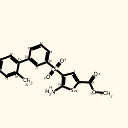 COC(=O)c1cc(S(=O)(=O)c2cccc(-c3ccccc3C)c2)c(N)s1